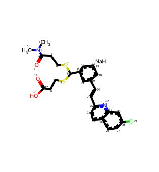 CN(C)C(=O)CCSC(SCCC(=O)O)c1cccc(C=Cc2ccc3ccc(Cl)cc3n2)c1.[NaH]